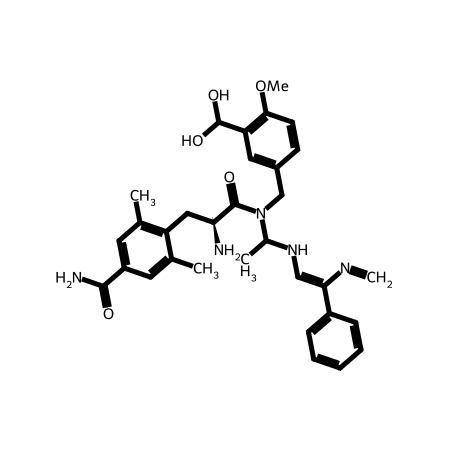 C=N/C(=C\NC(C)N(Cc1ccc(OC)c(C(O)O)c1)C(=O)[C@@H](N)Cc1c(C)cc(C(N)=O)cc1C)c1ccccc1